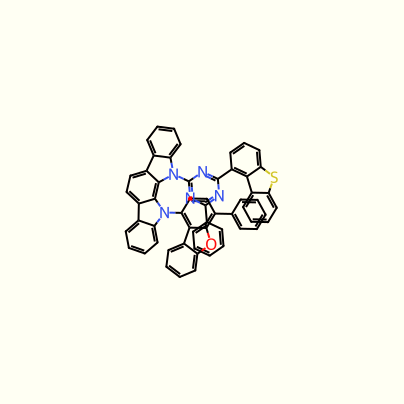 c1ccc(-c2nc(-c3cccc4sc5ccccc5c34)nc(-n3c4ccccc4c4ccc5c6ccccc6n(-c6ccc(-c7ccccc7)c7oc8ccccc8c67)c5c43)n2)cc1